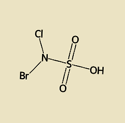 O=S(=O)(O)N(Cl)Br